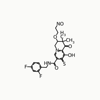 CC1(C)C(=O)c2c(O)c(=S)c(C(=O)NCc3ccc(F)cc3F)cn2CC1OCCN=O